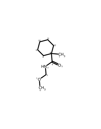 COCNC(=O)C1(C)CCCCC1